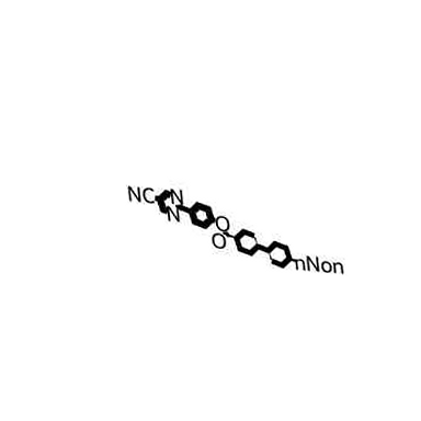 CCCCCCCCC[C@H]1CC[C@H]([C@H]2CC[C@H](C(=O)Oc3ccc(-c4ncc(C#N)cn4)cc3)CC2)CC1